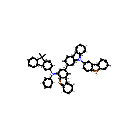 CC1(C)c2ccccc2-c2cc(N(c3ccccc3)c3cc(-c4ccc5c6ccccc6n(-c6ccc7sc8ccccc8c7c6)c5c4)cc4c3sc3ccccc34)ccc21